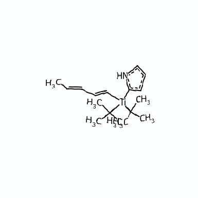 CC=CC=[CH][Ti]([c]1ccc[nH]1)([C](C)(C)C)[C](C)(C)C